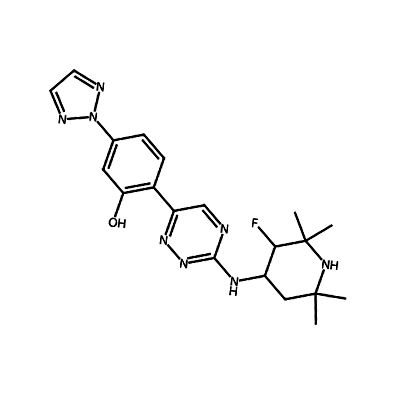 CC1(C)CC(Nc2ncc(-c3ccc(-n4nccn4)cc3O)nn2)C(F)C(C)(C)N1